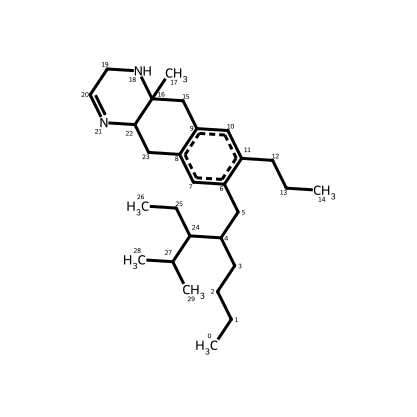 CCCCC(Cc1cc2c(cc1CCC)CC1(C)NCC=NC1C2)C(CC)C(C)C